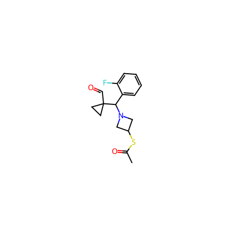 CC(=O)SC1CN(C(c2ccccc2F)C2(C=O)CC2)C1